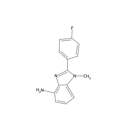 Cn1c(-c2ccc(F)cc2)nc2c(N)cccc21